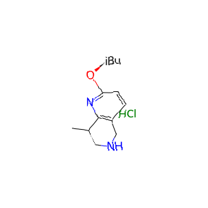 CC[C@H](C)Oc1ccc2c(n1)C(C)CNC2.Cl